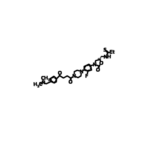 CCC(=S)NC[C@H]1CN(c2ccc(N3CCN(C(=O)CCC(=O)c4ccc(CN(C)C)cc4)CC3)c(F)c2)C(=O)O1